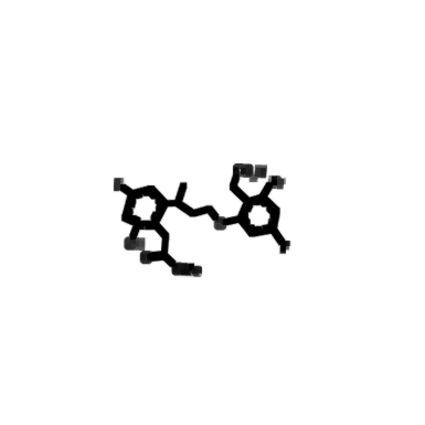 COC(=O)Cc1c(O)cc(F)cc1C(C)CCOc1cc(F)cc(C(C)C)c1CC(=O)O